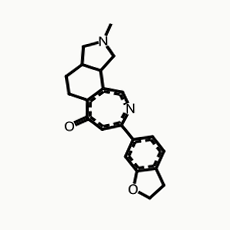 CN1CC2CCc3c(cnc(-c4ccc5c(c4)OCC5)cc3=O)C2C1